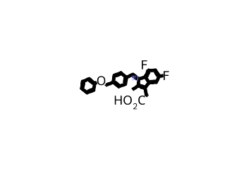 CC1=C(CC(=O)O)c2cc(F)cc(F)c2/C1=C/c1ccc(COc2ccccc2)cc1